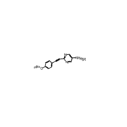 CCCCCCCc1cnc(C#Cc2ccc(OCCCC)cc2)nc1